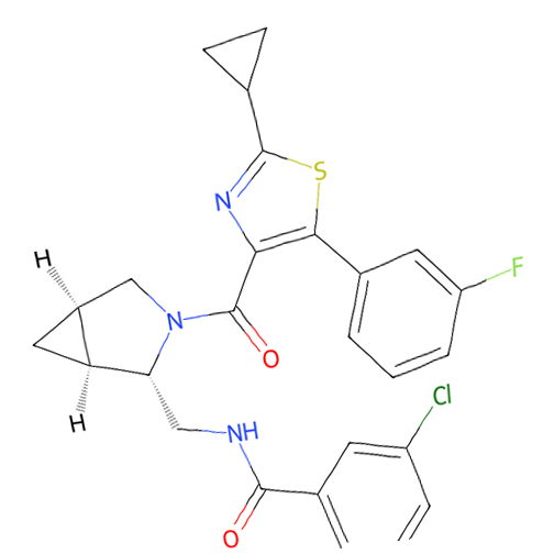 O=C(NC[C@@H]1[C@H]2C[C@H]2CN1C(=O)c1nc(C2CC2)sc1-c1cccc(F)c1)c1cccc(Cl)c1